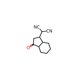 N#CC(C#N)C1CC(=O)C2CCCCC21